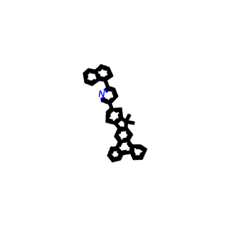 CC1(C)c2cc(-c3ccc(-c4cccc5ccccc45)nc3)ccc2-c2cc3c4ccccc4c4ccccc4c3cc21